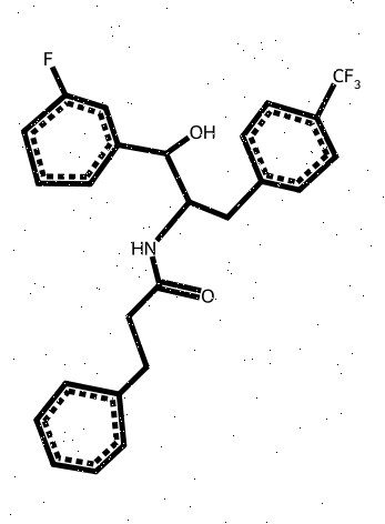 O=C(CCc1ccccc1)NC(Cc1ccc(C(F)(F)F)cc1)C(O)c1cccc(F)c1